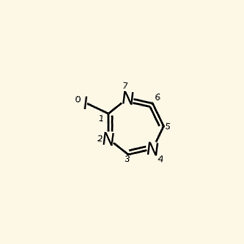 IC1=NC=NC=C=N1